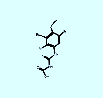 COc1c(Br)cc(NC(=S)NC(=O)O)c(Br)c1Br